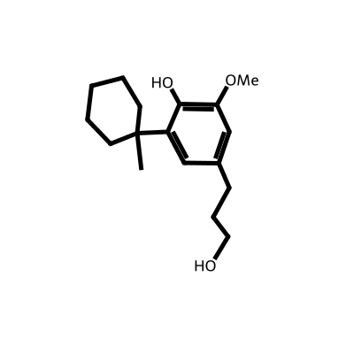 COc1cc(CCCO)cc(C2(C)CCCCC2)c1O